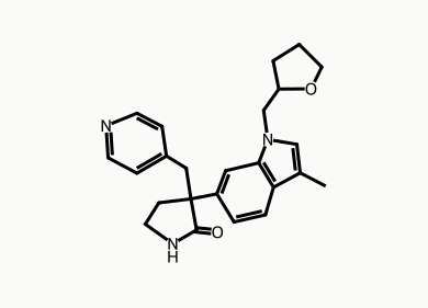 Cc1cn(CC2CCCO2)c2cc(C3(Cc4ccncc4)CCNC3=O)ccc12